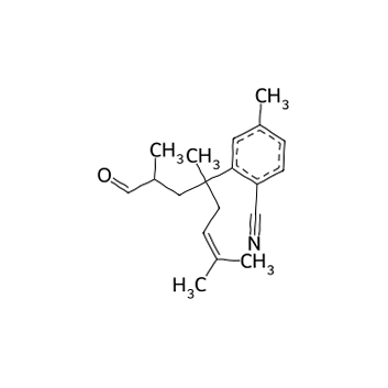 CC(C)=CCC(C)(CC(C)C=O)c1cc(C)ccc1C#N